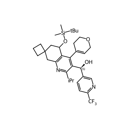 CC(C)c1nc2c(c(C3=CCOCC3)c1[C@@H](O)c1ccc(C(F)(F)F)nc1)C(O[Si](C)(C)C(C)(C)C)CC1(CCC1)C2